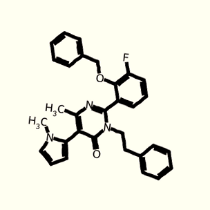 Cc1nc(-c2cccc(F)c2OCc2ccccc2)n(CCc2ccccc2)c(=O)c1-c1cccn1C